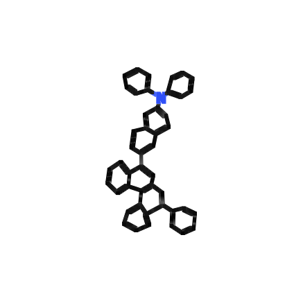 c1ccc(-c2cc3cc(-c4ccc5cc(N(c6ccccc6)c6ccccc6)ccc5c4)c4ccccc4c3c3ccccc23)cc1